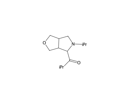 CC(C)C(=O)C1C2COCC2CN1C(C)C